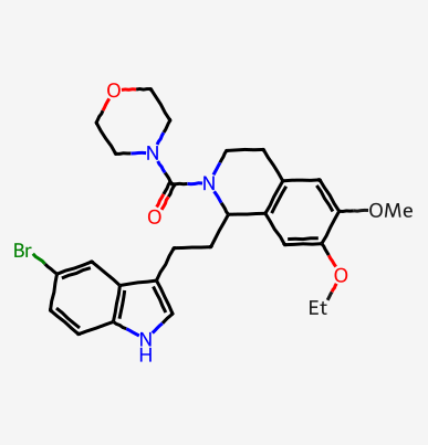 CCOc1cc2c(cc1OC)CCN(C(=O)N1CCOCC1)C2CCc1c[nH]c2ccc(Br)cc12